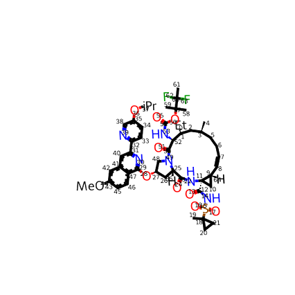 CC[C@@H]1C[C@@H](C)CC/C=C\[C@@H]2C[C@@]2(C(=O)NS(=O)(=O)C2(C)CC2)NC(=O)[C@@H]2C[C@@H](Oc3nc(-c4ccc(OC(C)C)cn4)cc4cc(OC)ccc34)CN2C(=O)[C@H]1NC(=O)OC(C)(C)C(C)(F)F